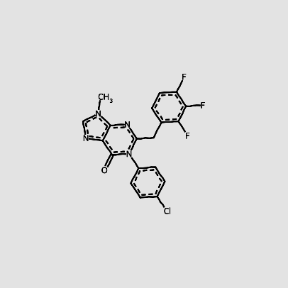 Cn1cnc2c(=O)n(-c3ccc(Cl)cc3)c(Cc3ccc(F)c(F)c3F)nc21